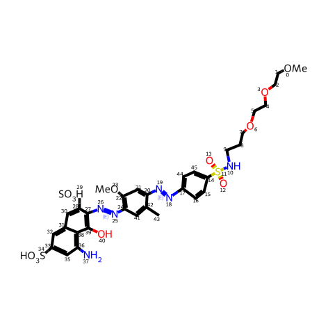 COCCOCCOCCCNS(=O)(=O)c1ccc(/N=N/c2cc(OC)c(/N=N/c3c(S(=O)(=O)O)cc4cc(S(=O)(=O)O)cc(N)c4c3O)cc2C)cc1